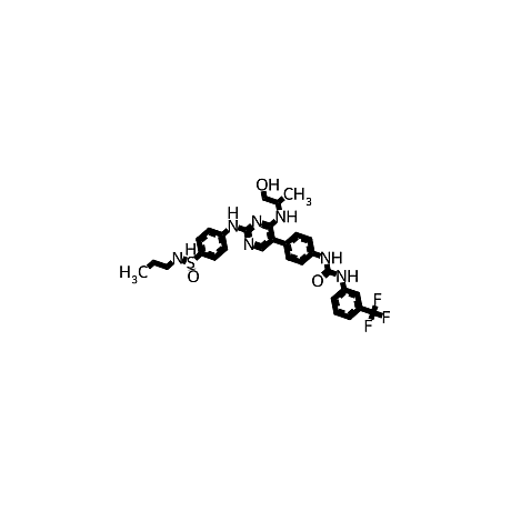 CCCN=[SH](=O)c1ccc(Nc2ncc(-c3ccc(NC(=O)Nc4cccc(C(F)(F)F)c4)cc3)c(NC(C)CO)n2)cc1